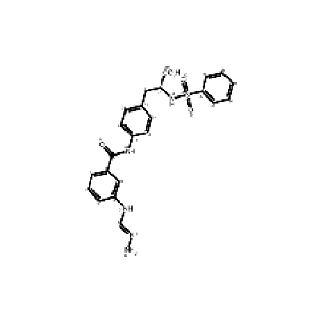 NN=CNc1cccc(C(=O)Nc2ccc(C[C@H](NS(=O)(=O)c3ccccc3)C(=O)O)cc2)c1